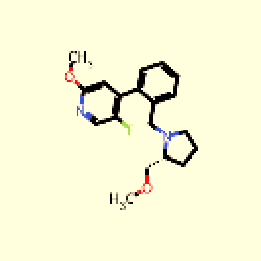 COC[C@H]1CCCN1Cc1ccccc1-c1cc(OC)ncc1F